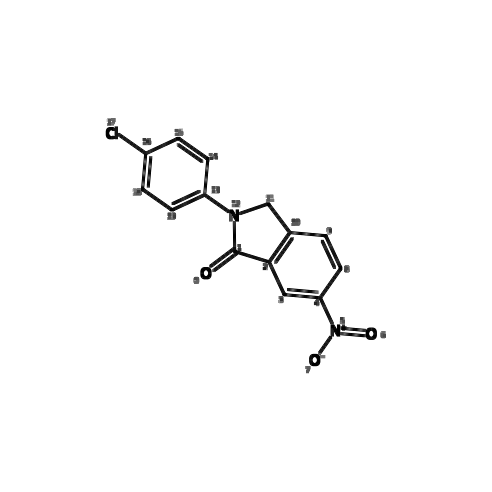 O=C1c2cc([N+](=O)[O-])ccc2CN1c1ccc(Cl)cc1